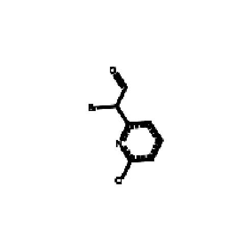 O=CC(Br)c1cccc(Cl)n1